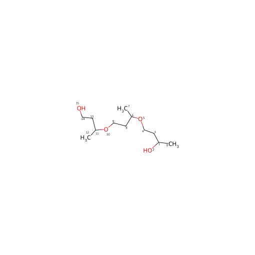 CC(O)CCOC(C)CCOC(C)CCO